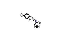 COc1ccc(CN/C=C(/Br)C=N)cc1